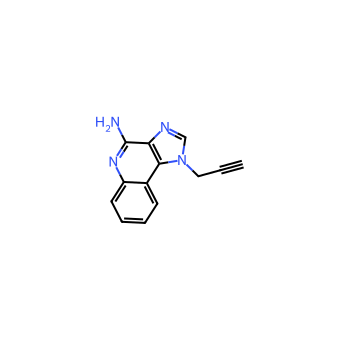 C#CCn1cnc2c(N)nc3ccccc3c21